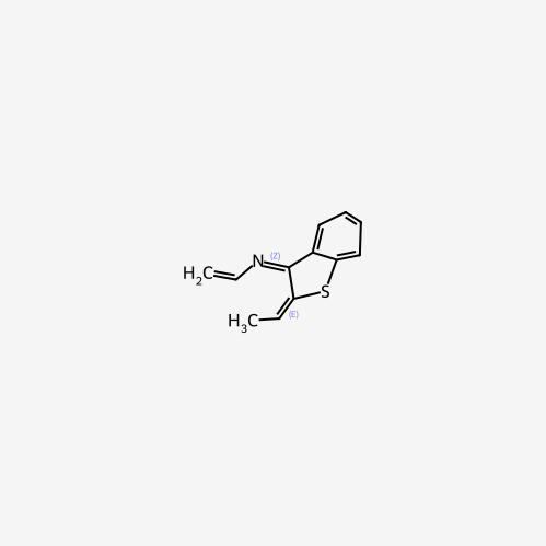 C=C/N=C1\C(=C/C)Sc2ccccc21